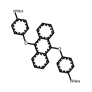 CCCCCCc1ccc(Oc2c3ccccc3c(Oc3ccc(CCCCCC)cc3)c3ccccc23)cc1